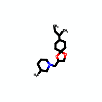 CCC(C)C1CCC2(CC1)OCC(CN1CCCC(C)C1)O2